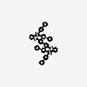 c1ccc(-c2ccc(-c3nc4c5ccccc5nc(-c5ccc(-c6ccc(-c7nc8ccccc8c8nc(-c9ccc(-c%10ccccc%10)cc9)c(-c9ccc(-c%10ccccc%10)cc9)n78)cc6)cc5)n4c3-c3ccc(-c4ccccc4)cc3)cc2)cc1